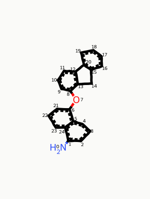 Nc1cccc2c(Oc3cccc4c3Cc3ccccc3-4)cccc12